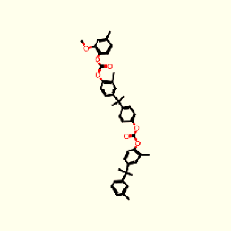 COc1cc(C)ccc1OC(=O)Oc1ccc(C(C)(C)c2ccc(OC(=O)Oc3ccc(C(C)(C)c4cccc(C)c4)cc3C)cc2)cc1C